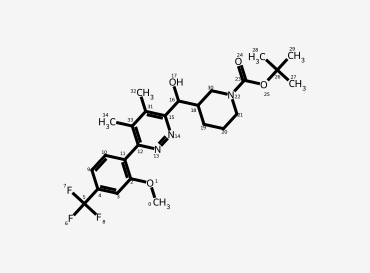 COc1cc(C(F)(F)F)ccc1-c1nnc(C(O)C2CCCN(C(=O)OC(C)(C)C)C2)c(C)c1C